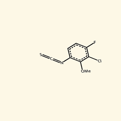 COc1c(N=C=S)ccc(F)c1Cl